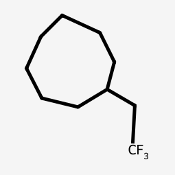 FC(F)(F)CC1CCCCCCC1